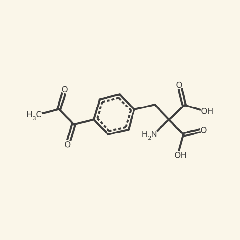 CC(=O)C(=O)c1ccc(CC(N)(C(=O)O)C(=O)O)cc1